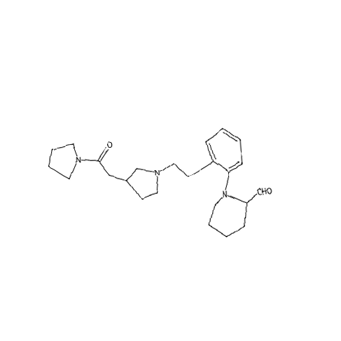 O=CC1CCCCN1c1ccccc1CCN1CCC(CC(=O)N2CCCC2)C1